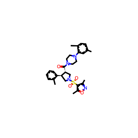 Cc1ccc(C)c(N2CCN(C(=O)[C@@H]3CN(S(=O)(=O)c4c(C)noc4C)C[C@H]3c3ccccc3C)CC2)c1